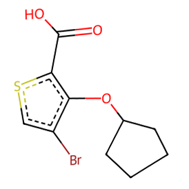 O=C(O)c1scc(Br)c1OC1CCCC1